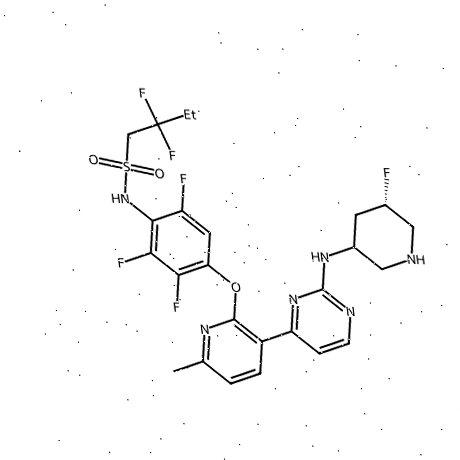 CCC(F)(F)CS(=O)(=O)Nc1c(F)cc(Oc2nc(C)ccc2-c2ccnc(NC3CNC[C@@H](F)C3)n2)c(F)c1F